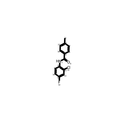 [CH2]c1ccc(C(=O)Nc2ccc(F)cc2Cl)cc1